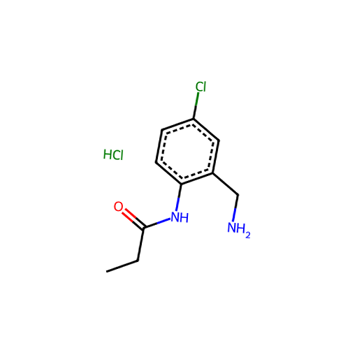 CCC(=O)Nc1ccc(Cl)cc1CN.Cl